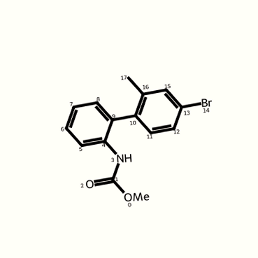 COC(=O)Nc1ccccc1-c1ccc(Br)cc1C